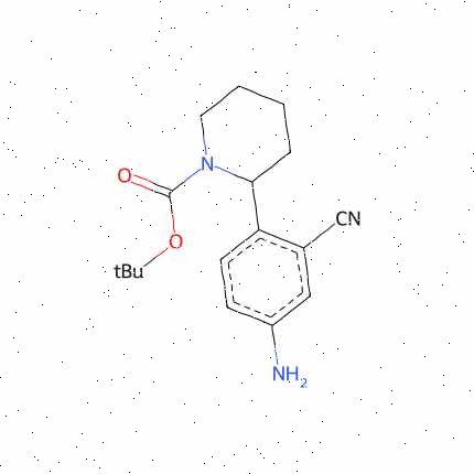 CC(C)(C)OC(=O)N1CCCCC1c1ccc(N)cc1C#N